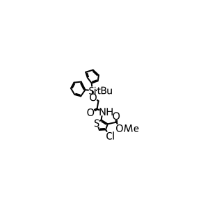 COC(=O)c1c(Cl)csc1NC(=O)CO[Si](c1ccccc1)(c1ccccc1)C(C)(C)C